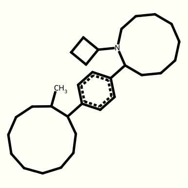 CC1CCCCCCCCCC1c1ccc(C2CCCCCCCCN2C2CCC2)cc1